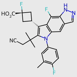 Cc1cc(-n2c(C(C)(C)CC#N)c([C@H]3C[C@](F)(C(=O)O)C3)c3c(F)c4[nH]ncc4cc32)ccc1F